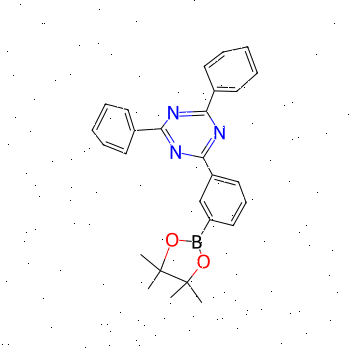 CC1(C)OB(c2cccc(-c3nc(-c4ccccc4)nc(-c4ccccc4)n3)c2)OC1(C)C